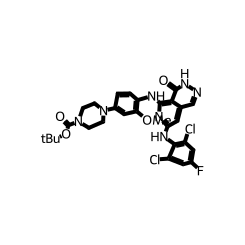 COc1cc(N2CCN(C(=O)OC(C)(C)C)CC2)ccc1Nc1nc(Nc2c(Cl)cc(F)cc2Cl)cc2cn[nH]c(=O)c12